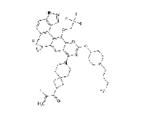 C=C(F)C(=O)N1CC2(CCN(c3nc(OC4CCN(CCCC)CC4)nc4c(OCC(F)(F)F)c(-c5c(C)ccc6[nH]ncc56)c(C5CC5)cc34)CC2)C1